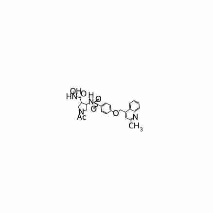 CC(=O)N1CC(NS(=O)(=O)c2ccc(OCc3cc(C)nc4ccccc34)cc2)C(C(=O)NO)C1